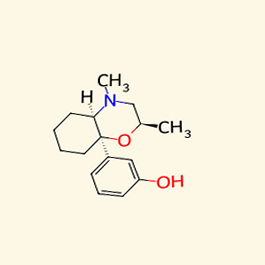 C[C@@H]1CN(C)[C@@H]2CCCC[C@]2(c2cccc(O)c2)O1